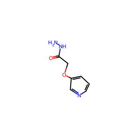 NNC(=O)COc1cccnc1